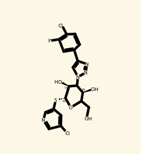 OCC1O[C@H](Sc2cncc(Cl)c2)[C@@H](O)C(n2cc(-c3ccc(Cl)c(F)c3)nn2)[C@H]1O